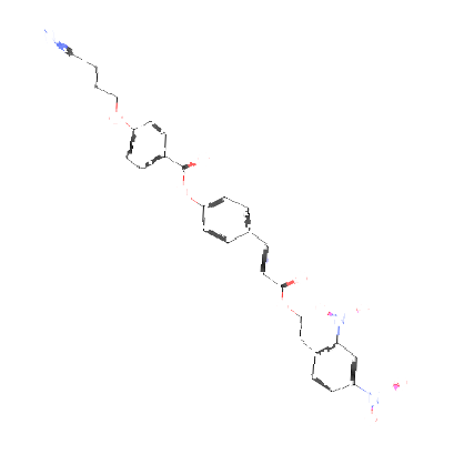 N#CCCCOc1ccc(C(=O)Oc2ccc(/C=C/C(=O)OCCc3ccc([N+](=O)[O-])cc3[N+](=O)[O-])cc2)cc1